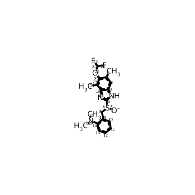 Cc1cc2[nH]c([S+]([O-])Cc3ccccc3N(C)C)nc2c(C)c1OC(F)F